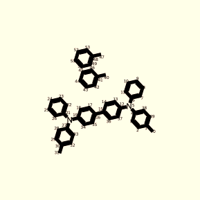 Cc1ccc(N(c2ccccc2)c2ccc(-c3ccc(N(c4ccccc4)c4ccc(C)cc4)cc3)cc2)cc1.Cc1ccccc1.Cc1ccccc1